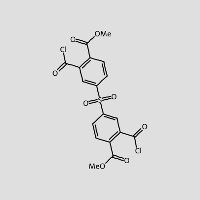 COC(=O)c1ccc(S(=O)(=O)c2ccc(C(=O)OC)c(C(=O)Cl)c2)cc1C(=O)Cl